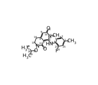 Cc1ccc(Nc2c3c(cc(=O)n2C)CCN(OC(C)C)C3=O)c(F)c1